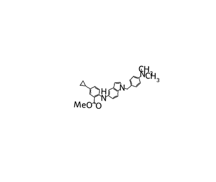 COC(=O)c1cc(C2CC2)ccc1Nc1ccc2c(ccn2Cc2ccc(N(C)C)cc2)c1